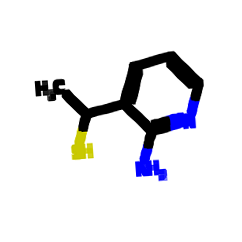 CC(S)c1cccnc1N